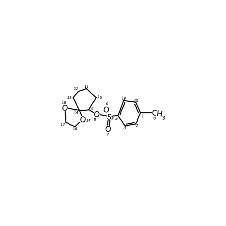 Cc1ccc(S(=O)(=O)OC2CCCCC23OCCO3)cc1